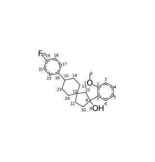 COc1ccccc1C1(O)CCC2(CCC(c3ccc(F)cc3)CC2)C1